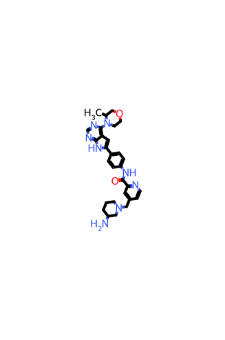 CC1COCCN1c1ncnc2[nH]c(-c3ccc(NC(=O)c4cc(CN5CCCC(N)C5)ccn4)cc3)cc12